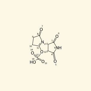 O=C1CCC(=O)N1.O=C1CCC(OS(=O)(=O)O)=N1